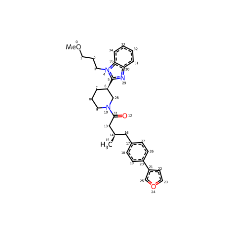 COCCCn1c([C@@H]2CCCN(C(=O)C[C@H](C)Cc3ccc(-c4ccoc4)cc3)C2)nc2ccccc21